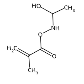 C=C(C)C(=O)ONC(C)O